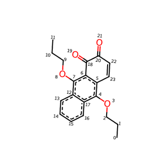 CCCOc1c2c(c(OCCC)c3ccccc13)C(=O)C(=O)C=C2